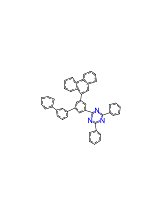 c1ccc(-c2cccc(-c3cc(-c4nc(-c5ccccc5)nc(-c5ccccc5)n4)cc(-c4cc5ccccc5c5ccccc45)c3)c2)cc1